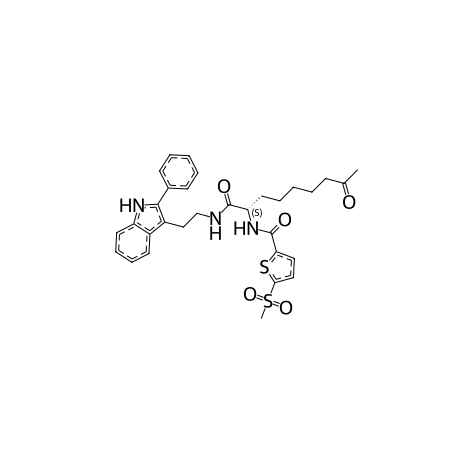 CC(=O)CCCCC[C@H](NC(=O)c1ccc(S(C)(=O)=O)s1)C(=O)NCCc1c(-c2ccccc2)[nH]c2ccccc12